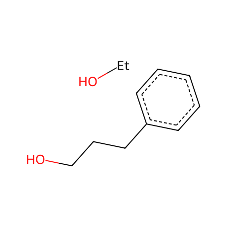 CCO.OCCCc1ccccc1